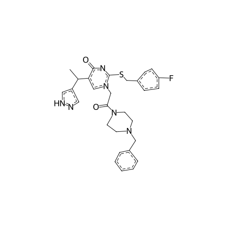 CC(c1cn[nH]c1)c1cn(CC(=O)N2CCN(Cc3ccccc3)CC2)c(SCc2ccc(F)cc2)nc1=O